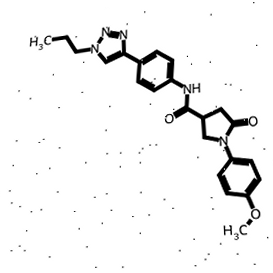 CCCn1cc(-c2ccc(NC(=O)C3CC(=O)N(c4ccc(OC)cc4)C3)cc2)nn1